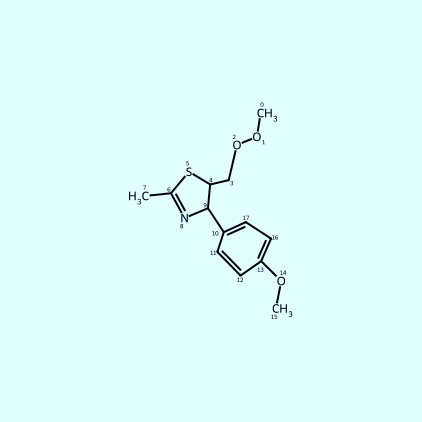 COOCC1SC(C)=NC1c1ccc(OC)cc1